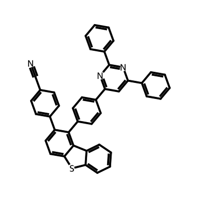 N#Cc1ccc(-c2ccc3sc4ccccc4c3c2-c2ccc(-c3cc(-c4ccccc4)nc(-c4ccccc4)n3)cc2)cc1